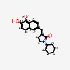 O=C1C(Cc2ccc3c(Br)c(O)ccc3c2)CCN1C1CCCCC1